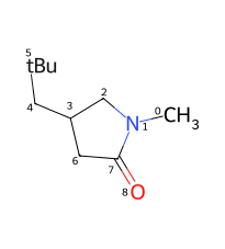 CN1CC(CC(C)(C)C)CC1=O